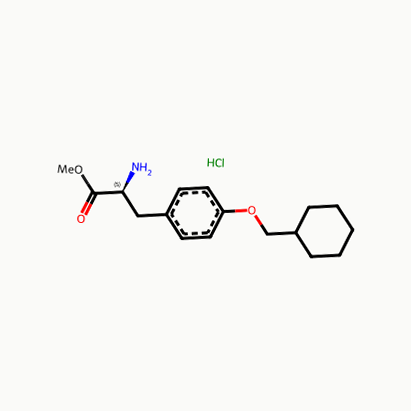 COC(=O)[C@@H](N)Cc1ccc(OCC2CCCCC2)cc1.Cl